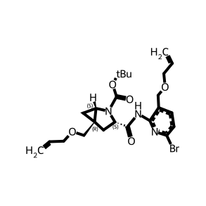 C=CCOCc1ccc(Br)nc1NC(=O)[C@@H]1C[C@]2(COCC=C)C[C@@H]2N1C(=O)OC(C)(C)C